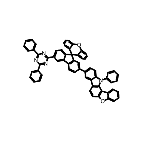 c1ccc(-c2nc(-c3ccccc3)nc(-c3ccc4c(c3)-c3ccc(-c5ccc6c(c5)c5ccc7oc8ccccc8c7c5n6-c5ccccc5)cc3C43c4ccccc4Oc4ccccc43)n2)cc1